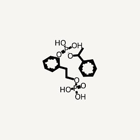 CC(OP(=O)(O)O)c1ccccc1.O=P(O)(O)OCCc1ccccc1